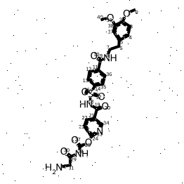 COc1ccc(CCNC(=O)c2ccc(S(=O)(=O)NC(=O)c3ccc(OC(=O)NC(=O)CN)nc3)cc2)cc1OC